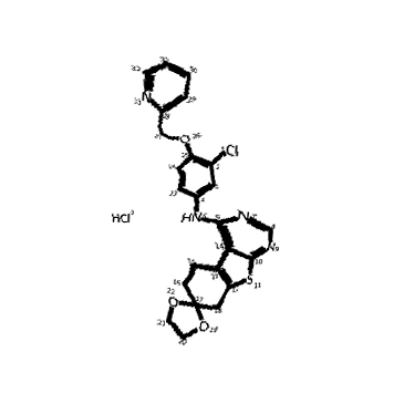 Cl.Clc1cc(Nc2ncnc3sc4c(c23)CCC2(C4)OCCO2)ccc1OCc1ccccn1